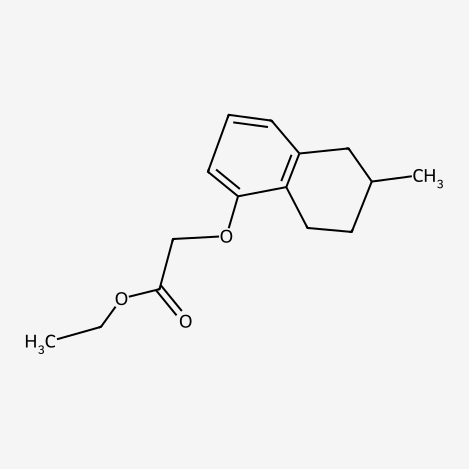 CCOC(=O)COc1cccc2c1CCC(C)C2